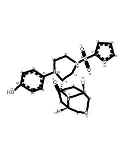 O=C1C[C@H]2COC[C@@H](C1)N2C[C@H]1CN(S(=O)(=O)c2cccs2)CCN1c1ccc(O)cc1